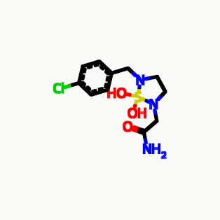 NC(=O)CN1CCN(Cc2ccc(Cl)cc2)S1(O)O